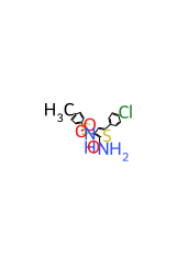 Cc1ccc(S(=O)(=O)Nc2cc(-c3ccc(Cl)cc3)sc2C(N)=O)cc1